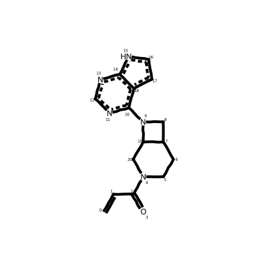 C=CC(=O)N1CCC2CN(c3ncnc4[nH]ccc34)C2C1